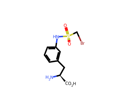 N[C@@H](Cc1cccc(NS(=O)(=O)CBr)c1)C(=O)O